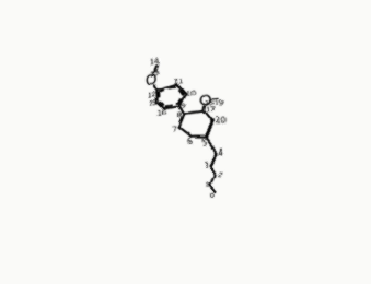 CCCCCC1CCC(c2ccc(OC)cc2)C(OC)C1